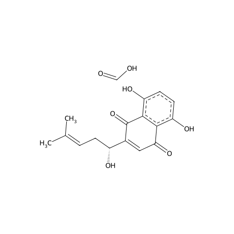 CC(C)=CC[C@@H](O)C1=CC(=O)c2c(O)ccc(O)c2C1=O.O=CO